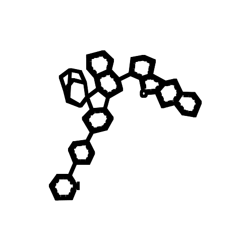 c1ccc(-c2ccc(-c3ccc4c(c3)C3(c5c-4cc(-c4cccc6c4oc4cc7ccccc7cc46)c4ccccc54)C4CC5CC(C4)CC3C5)cc2)nc1